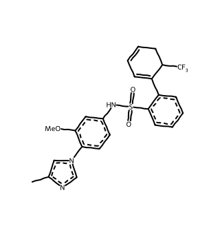 COc1cc(NS(=O)(=O)c2ccccc2C2=CC=CCC2C(F)(F)F)ccc1-n1cnc(C)c1